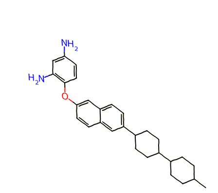 CC1CCC(C2CCC(c3ccc4cc(Oc5ccc(N)cc5N)ccc4c3)CC2)CC1